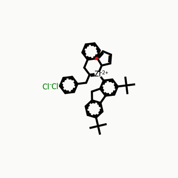 CC(C)(C)c1ccc2c(c1)-c1cc(C(C)(C)C)c[c]([Zr+2](=[C](Cc3ccccc3)Cc3ccccc3)[CH]3C=CC=C3)c1C2.[Cl-].[Cl-]